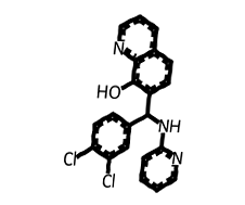 Oc1c(C(Nc2ccccn2)c2ccc(Cl)c(Cl)c2)ccc2cccnc12